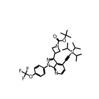 CC(C)[Si](C#Cc1ccnc2c1c(C1CN(C(=O)OC(C)(C)C)C1)nn2-c1ccc(OC(F)(F)F)cc1)(C(C)C)C(C)C